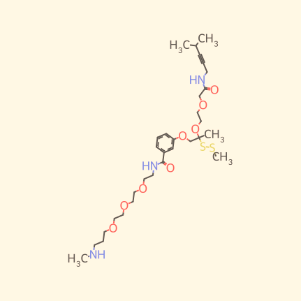 CNCCCOCCOCCOCCNC(=O)c1cccc(OCC(C)(OCCOCC(=O)NCC#CC(C)C)SSC)c1